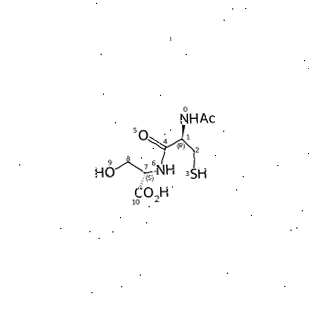 CC(=O)N[C@@H](CS)C(=O)N[C@@H](CO)C(=O)O